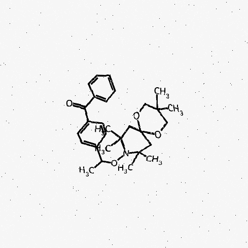 CC(ON1C(C)(C)CC2(CC1(C)C)OCC(C)(C)CO2)c1ccc(C(=O)c2ccccc2)cc1